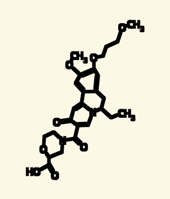 CCC1Cc2cc(OCCCOC)c(OC)cc2-c2cc(=O)c(C(=O)N3CCOC(C(=O)O)C3)cn21